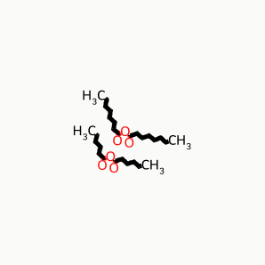 CCCCCC(=O)OC(=O)CCCCC.CCCCCCCC(=O)OC(=O)CCCCCCC